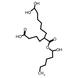 CCCCCC(O)OC(=O)C(CCCCCC(O)O)CCCC(=O)O